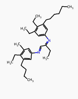 CCCCCCc1cc(N=C(C=Nc2cc(C)c(CC)c(CCCC)c2)CC)cc(CC)c1CC